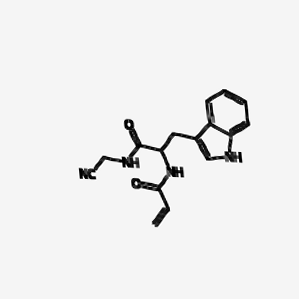 C=CC(=O)NC(Cc1c[nH]c2ccccc12)C(=O)NCC#N